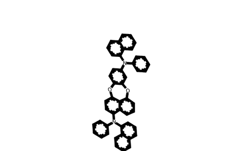 c1ccc(N(c2ccc3c(c2)Oc2cccc4c(N(c5ccccc5)c5cccc6ccccc56)ccc(c24)O3)c2cccc3ccccc23)cc1